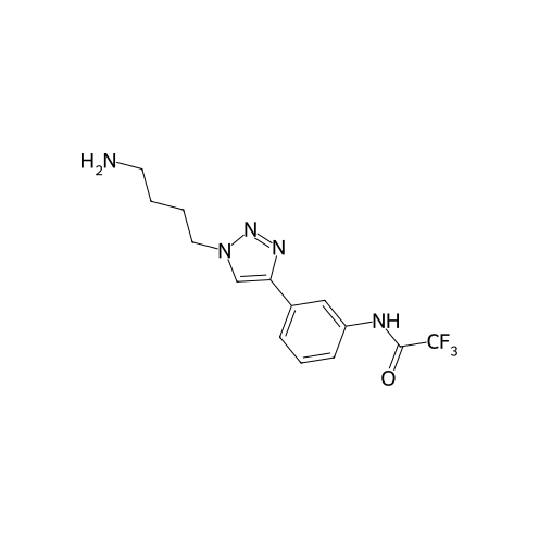 NCCCCn1cc(-c2cccc(NC(=O)C(F)(F)F)c2)nn1